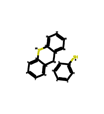 Sc1ccccc1.c1ccc2c(c1)Cc1ccccc1S2